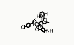 CNc1ccc(Cl)c(-n2c(C=C(C)C)c(C(=O)N3C[C@H]4CC[C@@H](C3)N4)cc(-c3nc(-c4ccc(Cl)cc4)cs3)c2=O)c1